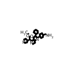 CCOC(=O)C(c1ccncc1)c1nccc2nc(-c3ccc(CN)cc3)c(-c3ccccc3)cc12